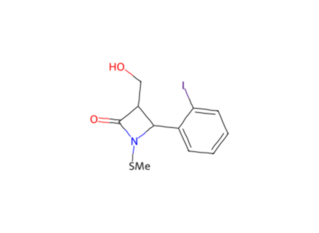 CSN1C(=O)C(CO)C1c1ccccc1I